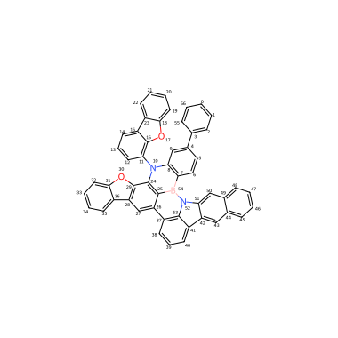 c1ccc(-c2ccc3c(c2)N(c2cccc4c2oc2ccccc24)c2c4c(cc5c2oc2ccccc25)-c2cccc5c6cc7ccccc7cc6n(c25)B34)cc1